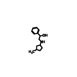 CC1CCC(NCC(O)c2ccccc2)C1